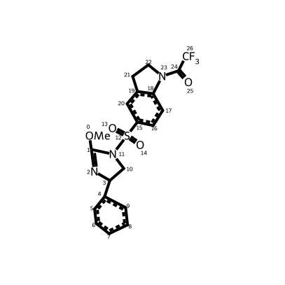 COC1=NC(c2ccccc2)CN1S(=O)(=O)c1ccc2c(c1)CCN2C(=O)C(F)(F)F